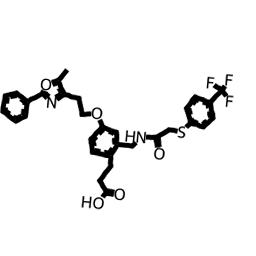 Cc1oc(-c2ccccc2)nc1CCOc1ccc(CCC(=O)O)c(CNC(=O)CSc2ccc(C(F)(F)F)cc2)c1